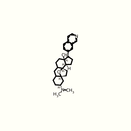 CN(C)[C@@H]1CCC2CC3CC[C@]4(C)[C@@H](c5ccc6ccncc6c5)CC[C@H]4[C@@]34CC[C@]2(C1)O4